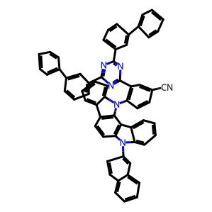 N#Cc1ccc(-n2c3ccccc3c3ccc4c(c5ccccc5n4-c4ccc5ccccc5c4)c32)c(-c2nc(-c3cccc(-c4ccccc4)c3)nc(-c3cccc(-c4ccccc4)c3)n2)c1